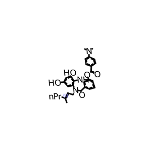 CCC/C(C)=C/CN1C(=O)c2cccc(OC(=O)c3ccc(N(C)C)cc3)c2Nc2c(O)cc(O)cc21